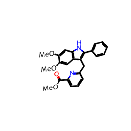 COC(=O)c1cccc(Cc2c(-c3ccccc3)[nH]c3cc(OC)c(OC)cc23)n1